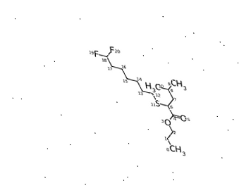 CCCOC(=O)C(CC(C)C)SCCCCCCC(F)F